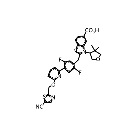 CC1(C)COCC1n1c(Cc2cc(F)c(-c3cccc(OCc4ncc(C#N)s4)n3)cc2F)nc2ccc(C(=O)O)cc21